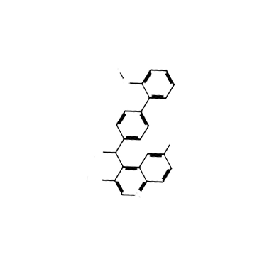 CCOc1ccccc1-c1ccc(C(C(=O)O)c2c(C)cnc3ccc(F)cc23)cc1